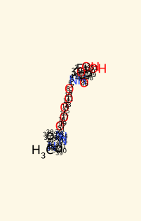 CC/C=C\C(=CNCCOCCOCCOCCOCCOCCn1nnc2c1-c1ccccc1CN(C)c1ccccc1-2)c1cc(=O)c2ccc(O)c(O)c2o1